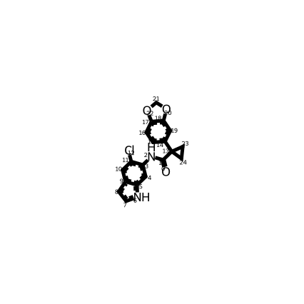 O=C(Nc1cc2[nH]ccc2cc1Cl)C1(c2ccc3c(c2)OCO3)CC1